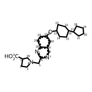 O=C(O)C1CCN(Cc2ncc3cc(OC4CCC(C5CCCC5)CC4)ccc3n2)C1